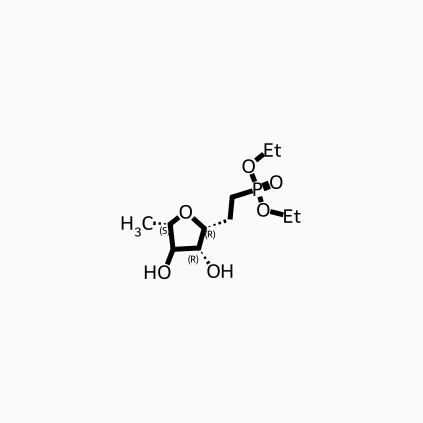 CCOP(=O)(CC[C@H]1O[C@@H](C)C(O)[C@H]1O)OCC